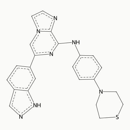 c1cn2cc(-c3ccc4cn[nH]c4c3)nc(Nc3ccc(N4CCSCC4)cc3)c2n1